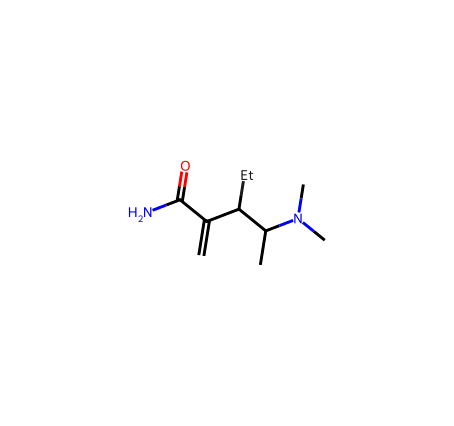 C=C(C(N)=O)C(CC)C(C)N(C)C